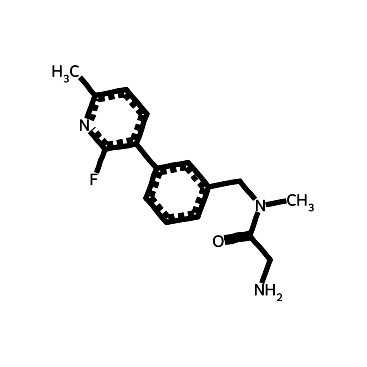 Cc1ccc(-c2cccc(CN(C)C(=O)CN)c2)c(F)n1